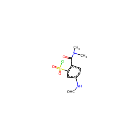 CN(C)C(=O)c1ccc(NC=O)cc1S(=O)(=O)Cl